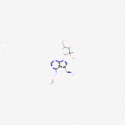 CCONc1ncnc2c1c(C=NO)cn2[C@@H]1OC(CO)C(O)C1(C)OC